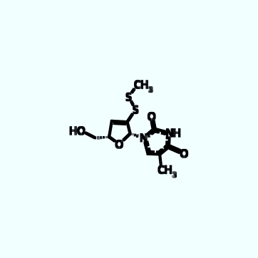 CSSC1=C[C@@H](CO)O[C@H]1n1cc(C)c(=O)[nH]c1=O